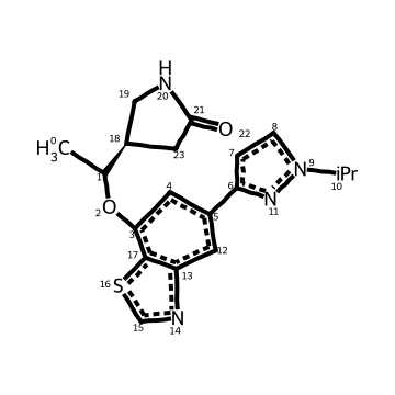 CC(Oc1cc(-c2ccn(C(C)C)n2)cc2ncsc12)[C@H]1CNC(=O)C1